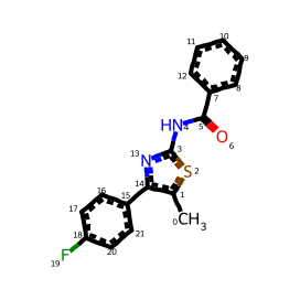 Cc1sc(NC(=O)c2ccccc2)nc1-c1ccc(F)cc1